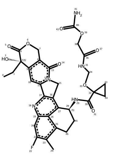 CC[C@@]1(O)C(=O)OCc2c1cc1n(c2=O)Cc2c-1nc1cc(F)c(C)c3c1c2[C@@H](NC(=O)C1(OCNC(=O)COC(N)=O)CC1)CC3